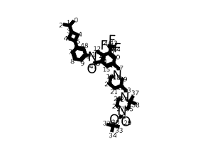 CC(C)C1CC(c2cccc(N3Cc4c(cc(CN5CCCC(CN6CCN(C(=O)OC(C)(C)C)CC6(C)C)C5)cc4C(F)(F)F)C3=O)c2)C1